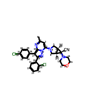 Cc1cc(N2C[C@@H]3[C@H](C2)[C@@]3(C#N)N2CCOCC2)n2nc(-c3ccccc3Cl)c(-c3ccc(Cl)cc3)c2n1